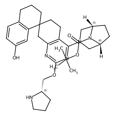 CC(C)(C)OC(=O)N1[C@@H]2CC[C@H]1CN(c1nc(OC[C@@H]3CCCN3)nc3c1CCC1(CCCc4ccc(O)cc41)C3)C2